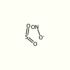 O=S=O.O=[NH+][O-]